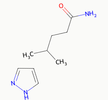 CC(C)CCC(N)=O.c1cn[nH]c1